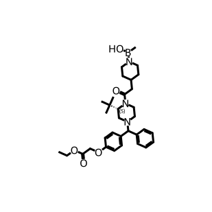 CCOC(=O)COc1ccc(C(c2ccccc2)N2CCN(C(=O)CC3CCN(B(C)O)CC3)[C@@H](C(C)(C)C)C2)cc1